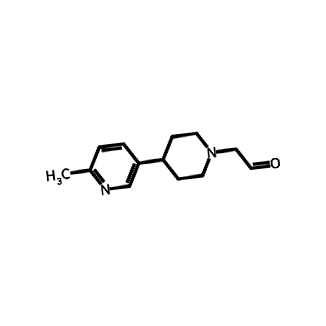 Cc1ccc(C2CCN(CC=O)CC2)cn1